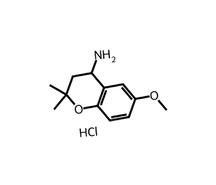 COc1ccc2c(c1)C(N)CC(C)(C)O2.Cl